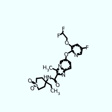 CCC1(NC(=O)c2nc3ccc(Oc4ncc(F)cc4OCC(F)F)cn3c2C)CCS(=O)(=O)CC1